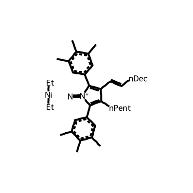 CCCCCCCCCCC=CC1=C(c2cc(C)c(C)c(C)c2)[N+](=[N-])C(c2cc(C)c(C)c(C)c2)=C1CCCCC.C[CH2][Ni][CH2]C